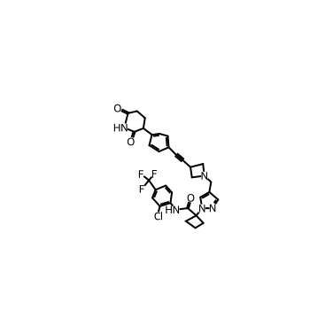 O=C1CCC(c2ccc(C#CC3CN(Cc4cnn(C5(C(=O)Nc6ccc(C(F)(F)F)cc6Cl)CCC5)c4)C3)cc2)C(=O)N1